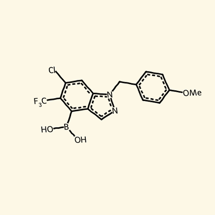 COc1ccc(Cn2ncc3c(B(O)O)c(C(F)(F)F)c(Cl)cc32)cc1